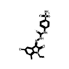 CCN1C(=O)C(=NNC(=S)Nc2ccc(S(N)(=O)=O)cc2)c2cc(Cl)cc(C)c21